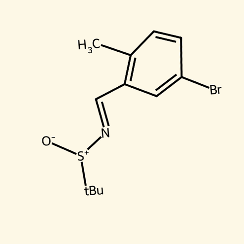 Cc1ccc(Br)cc1C=N[S+]([O-])C(C)(C)C